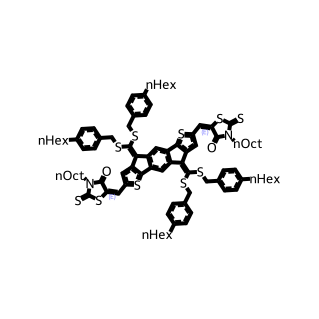 CCCCCCCCN1C(=O)/C(=C\c2cc3c(s2)-c2cc4c(cc2C3=C(SCc2ccc(CCCCCC)cc2)SCc2ccc(CCCCCC)cc2)-c2sc(/C=C3/SC(=S)N(CCCCCCCC)C3=O)cc2C4=C(SCc2ccc(CCCCCC)cc2)SCc2ccc(CCCCCC)cc2)SC1=S